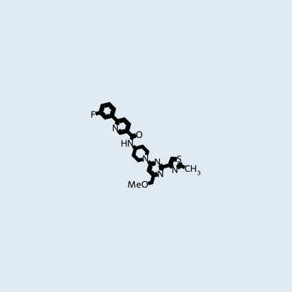 COCc1cc(N2CCC(NC(=O)c3ccc(-c4cccc(F)c4)nc3)CC2)nc(-c2csc(C)n2)n1